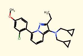 CCc1nn2c(-c3ccc(OC)cc3Cl)cccc2c1N(CC1CC1)CC1CC1